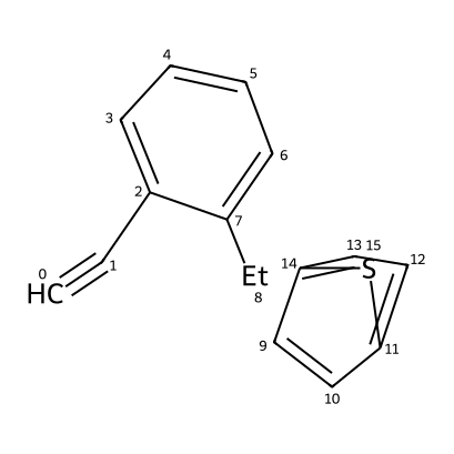 C#Cc1ccccc1CC.c1cc2ccc1s2